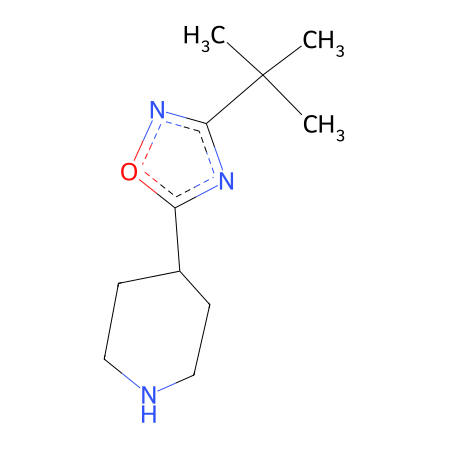 CC(C)(C)c1noc(C2CCNCC2)n1